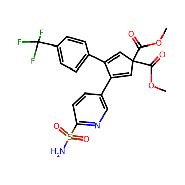 COC(=O)C1(C(=O)OC)C=C(c2ccc(C(F)(F)F)cc2)C(c2ccc(S(N)(=O)=O)nc2)=C1